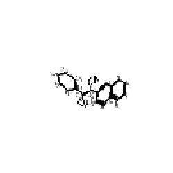 N#C[C@@H](c1ccc2ccccc2c1)C(O)C1CCCCC1